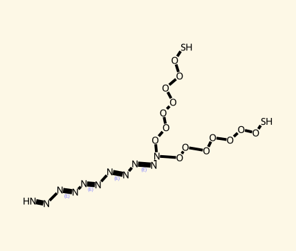 N=N/N=N/N=N/N=N/N=N/N(OOOOOOOS)OOOOOOOS